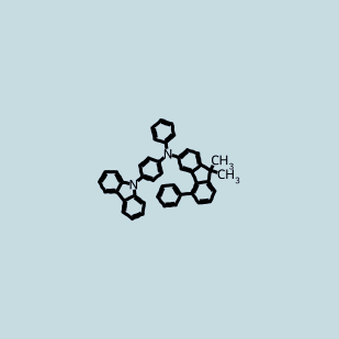 CC1(C)c2ccc(N(c3ccccc3)c3ccc(-n4c5ccccc5c5ccccc54)cc3)cc2-c2c(-c3ccccc3)cccc21